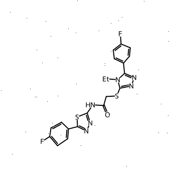 CCn1c(SCC(=O)Nc2nnc(-c3ccc(F)cc3)s2)nnc1-c1ccc(F)cc1